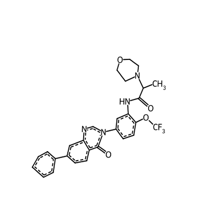 CC(C(=O)Nc1cc(-n2cnc3cc(-c4ccccc4)ccc3c2=O)ccc1OC(F)(F)F)N1CCOCC1